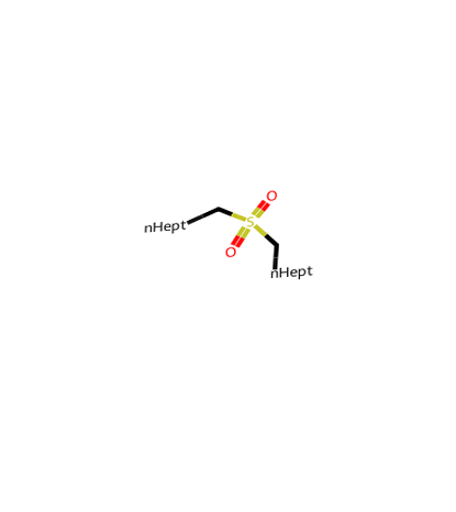 CCCCCCCCS(=O)(=O)CCCCCCCC